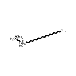 CCCCCCCCC=CCCCCCCCCCOP(=O)(O)OCC[N+](C)(C)C